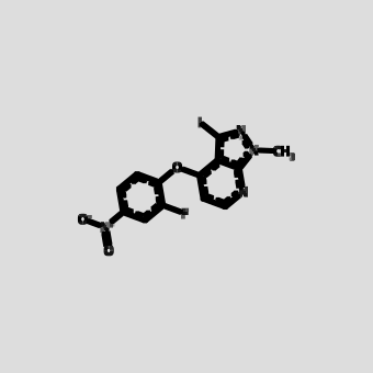 Cn1nc(I)c2c(Oc3ccc([N+](=O)[O-])cc3F)ccnc21